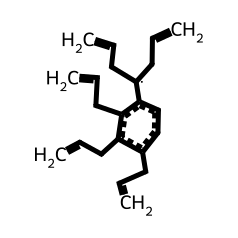 C=CC[C](CC=C)c1ccc(CC=C)c(CC=C)c1CC=C